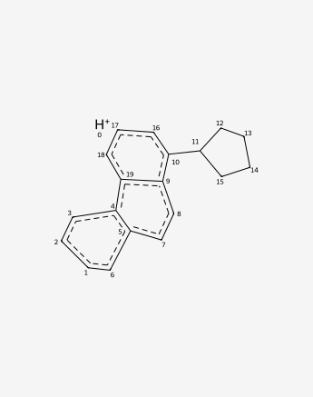 [H+].c1ccc2c(c1)ccc1c(C3CCCC3)cccc12